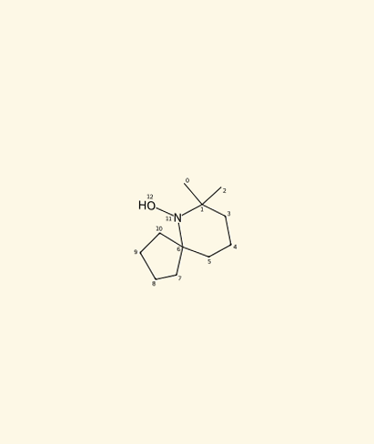 CC1(C)CCCC2(CCCC2)N1O